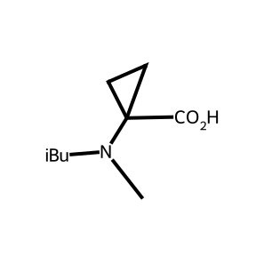 CCC(C)N(C)C1(C(=O)O)CC1